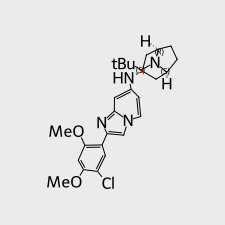 COc1cc(OC)c(-c2cn3ccc(N[C@@H]4C[C@H]5CC[C@@H](C4)N5CC(C)(C)C)cc3n2)cc1Cl